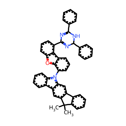 CC1(C)c2ccccc2-c2cc3c(cc21)c1ccccc1n3-c1cccc2c1oc1cccc(C3=NC(c4ccccc4)NC(c4ccccc4)=N3)c12